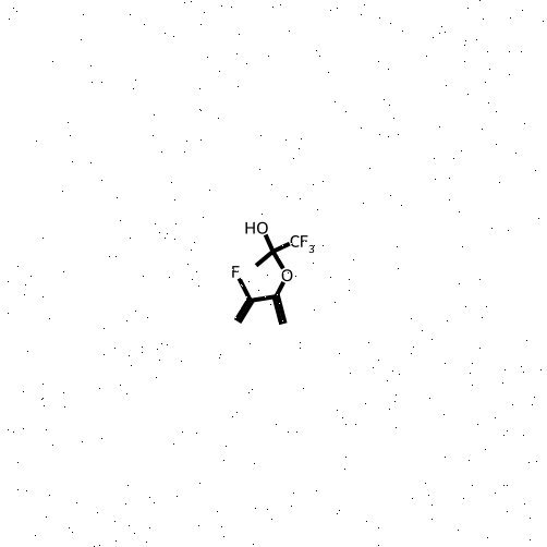 C=C(F)C(=C)OC(C)(O)C(F)(F)F